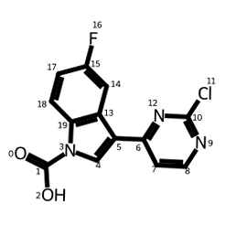 O=C(O)n1cc(-c2ccnc(Cl)n2)c2cc(F)ccc21